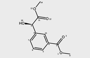 COC(=O)c1cccc([C@@H](O)C(=O)OC)c1